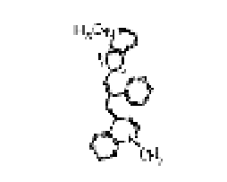 CN1C=C/C(=C\C(=C\c2nc3c(ccc[n+]3C)s2)c2ccccc2)c2ccccc21